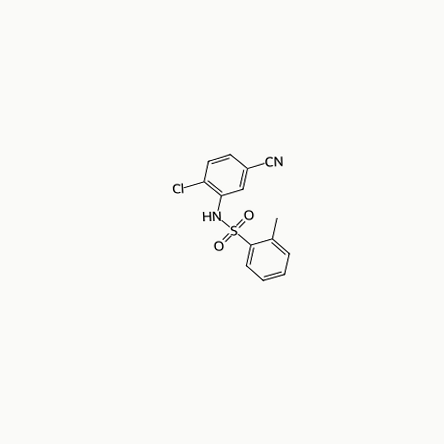 Cc1ccccc1S(=O)(=O)Nc1cc(C#N)ccc1Cl